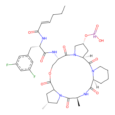 CCC/C=C/C(=O)N[C@@H](Cc1cc(F)cc(F)c1)C(=O)N[C@H]1COC(=O)C2C[C@@H](C)CN2C(=O)[C@H](C)NC(=O)[C@@H]2CCCCN2C(=O)[C@@H]2C[C@@H](O[PH](=O)O)CN2C1=O